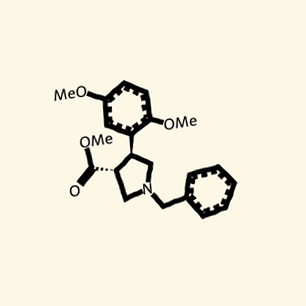 COC(=O)[C@H]1CN(Cc2ccccc2)C[C@@H]1c1cc(OC)ccc1OC